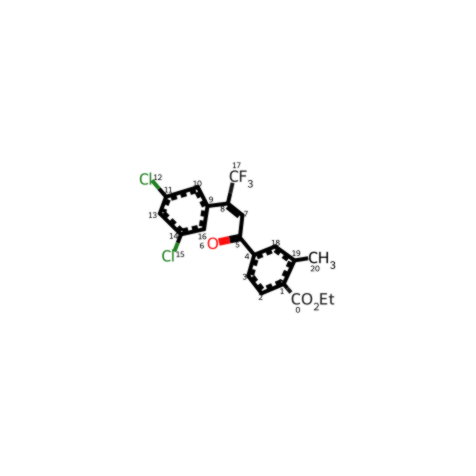 CCOC(=O)c1ccc(C(=O)/C=C(\c2cc(Cl)cc(Cl)c2)C(F)(F)F)cc1C